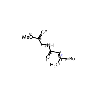 CCCC/C(C)=C/C(=O)NCC(=O)OC